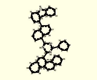 c1ccc(-c2nc(-c3cccc4c(-c5cccc6oc7ccccc7c56)cccc34)nc(-c3cc4ccccc4c4ccc5ccccc5c34)n2)cc1